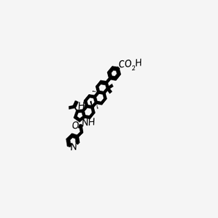 C=C(C)[C@@H]1CC[C@]2(NC(=O)Cc3cccnc3)CC[C@]3(C)[C@H](CCC4[C@@]5(C)CC=C(c6ccc(C(=O)O)cc6)C(C)(C)C5CC[C@]43C)C12